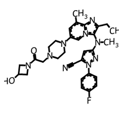 CCc1nc2c(C)cc(N3CCN(CC(=O)N4CC(O)C4)CC3)cn2c1N(C)c1cc(C#N)n(-c2ccc(F)cc2)n1